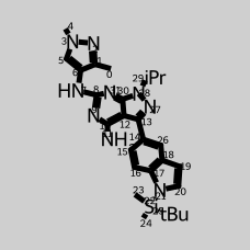 Cc1nn(C)cc1Nc1nc(N)c2c(-c3ccc4c(ccn4[Si](C)(C)C(C)(C)C)c3)nn(C(C)C)c2n1